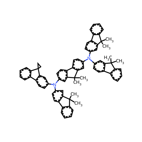 CC1(C)c2ccccc2-c2ccc(N(c3ccc4c(c3)C(C)(C)c3ccccc3-4)c3ccc4c(c3)C(C)(C)c3cc(N(c5ccc6c(c5)C(C)(C)c5ccccc5-6)c5ccc6c(c5)C5(CC5)c5ccccc5-6)ccc3-4)cc21